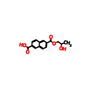 CC(O)COC(=O)c1ccc2cc(C(=O)O)ccc2c1